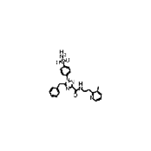 Cc1cccnc1CCNC(=O)c1nc(Cc2ccccc2)n(-c2ccc(S(N)(=O)=O)cc2)n1